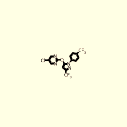 FC(F)(F)c1ccc(-n2nc(C(F)(F)F)cc2Oc2ncc(Cl)cn2)cc1